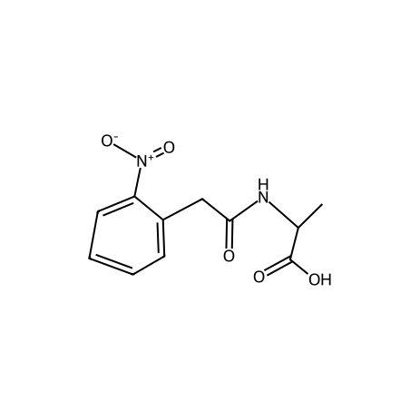 CC(NC(=O)Cc1ccccc1[N+](=O)[O-])C(=O)O